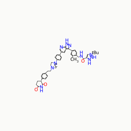 Cc1cc(-c2n[nH]c3ncc(-c4ccc(N5CCN(CCc6ccc([C@@H]7CCC(=O)NC7=O)cc6)CC5)cc4)cc23)ccc1CNC(=O)C1=CN(C(C)(C)C)NN1